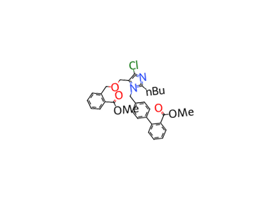 CCCCc1nc(Cl)c(COCc2ccccc2C(=O)OC)n1Cc1ccc(-c2ccccc2C(=O)OC)cc1